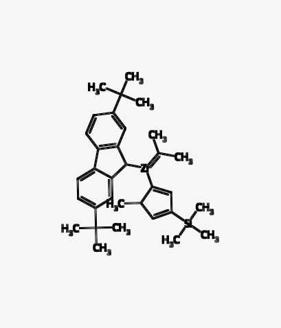 C[C](C)=[Zr]([C]1=CC([Si](C)(C)C)=CC1C)[CH]1c2cc(C(C)(C)C)ccc2-c2ccc(C(C)(C)C)cc21